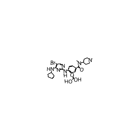 CN1CCC(N(C)C(=O)c2ccc(Nc3ncc(Br)c(NC4CCCC4)n3)cc2)CC1.O=C(O)O